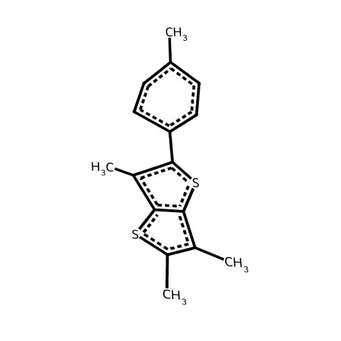 Cc1ccc(-c2sc3c(C)c(C)sc3c2C)cc1